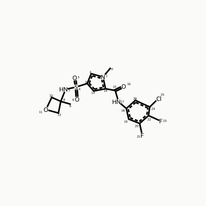 Cn1cc(S(=O)(=O)NC2(C)COC2)cc1C(=O)Nc1cc(F)c(F)c(Cl)c1